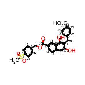 CS(=O)(=O)c1ccc(COC(=O)c2ccc3cc(O)c(Cc4ccc(C(=O)O)cc4)c(O)c3c2)cc1